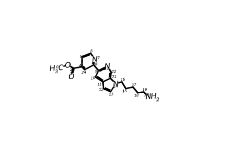 COC(=O)c1ccnc(-c2cc3ccn(CCCCCN)c3cn2)c1